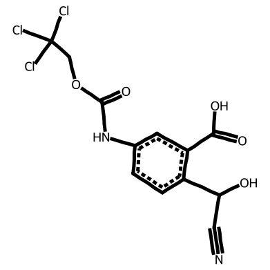 N#CC(O)c1ccc(NC(=O)OCC(Cl)(Cl)Cl)cc1C(=O)O